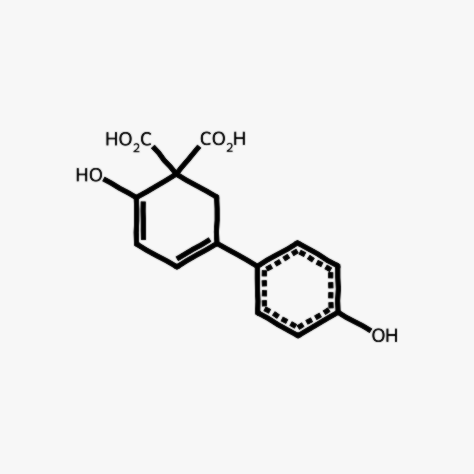 O=C(O)C1(C(=O)O)CC(c2ccc(O)cc2)=CC=C1O